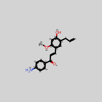 C=CCc1cc(C=CC(=O)c2ccc(N)cc2)c(OC(C)C)cc1O